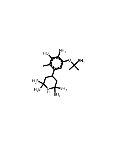 BC1(B)CC(c2cc(OC(B)(C)C)c(N)c(O)c2C)CC(B)(B)N1